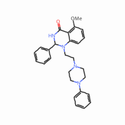 COc1cccc2c1C(=O)NC(c1ccccc1)N2CCN1CCN(c2ccccc2)CC1